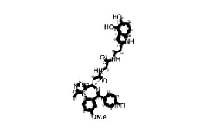 COc1ccc2c(c1)C(c1ccc(Cl)cc1)=N[C@@H](CC(=O)NCC(=O)NCCc1cc3c(O)c(O)ccc3[nH]1)c1nnc(C)n1-2